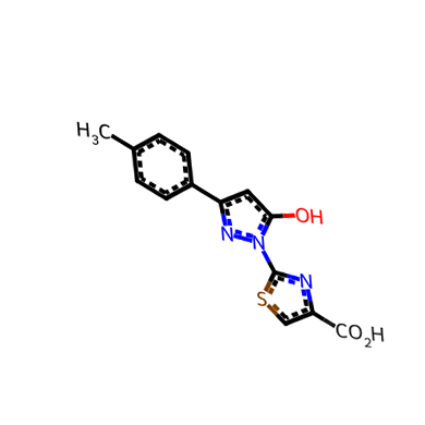 Cc1ccc(-c2cc(O)n(-c3nc(C(=O)O)cs3)n2)cc1